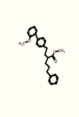 COC(=O)C(CCCc1ccccc1)CCc1ccc(-c2ccccc2OC)cc1